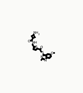 COc1ccc2nc(C)nc(SCC(=O)c3ccc(CNC(=O)C4CC(N)C4)s3)c2c1